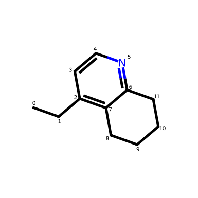 CCc1ccnc2c1CCCC2